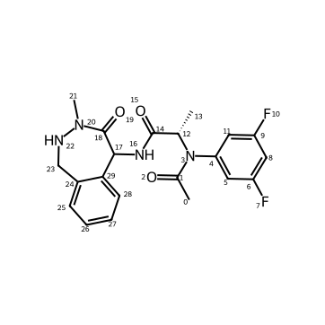 CC(=O)N(c1cc(F)cc(F)c1)[C@@H](C)C(=O)NC1C(=O)N(C)NCc2ccccc21